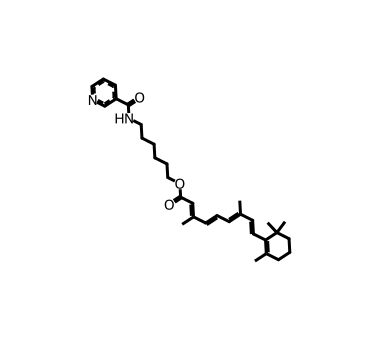 CC(C=CC1=C(C)CCCC1(C)C)=CC=CC(C)=CC(=O)OCCCCCCNC(=O)c1cccnc1